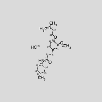 COc1cc(CCC(=O)NC2CCC(C)CC2)ccc1OCCN(C)C.Cl